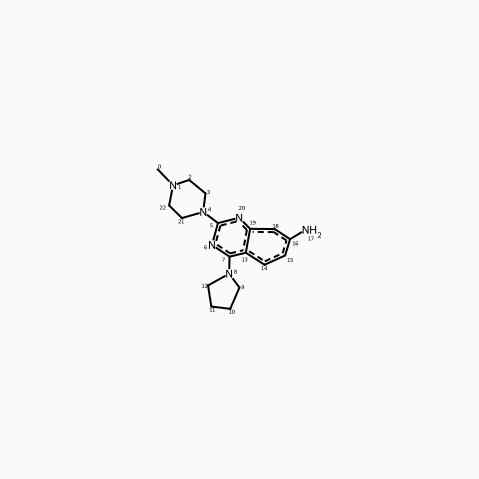 CN1CCN(c2nc(N3CCCC3)c3ccc(N)cc3n2)CC1